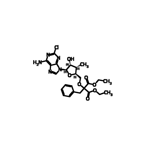 CCOC(=O)C(Cc1ccccc1)(OC[C@H]1O[C@@H](n2cnc3c(N)nc(Cl)nc32)[C@H](O)[C@@H]1C)C(=O)OCC